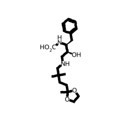 CC(C)(CCC1(C)OCCO1)CNC[C@H](O)[C@H](Cc1ccccc1)NC(=O)O